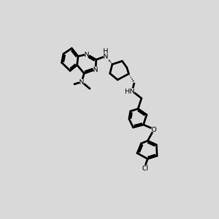 CN(C)c1nc(N[C@H]2CC[C@@H](CNCc3cccc(Oc4ccc(Cl)cc4)c3)CC2)nc2ccccc12